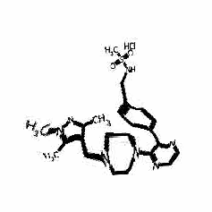 Cc1nn(C)c(C)c1CN1CCN(c2nccnc2-c2ccc(CNS(C)(=O)=O)cc2)CC1.Cl